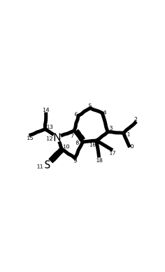 CC(C)C1CCCC2=C(CC(=S)N2C(C)C)C1(C)C